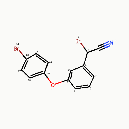 N#CC(Br)c1cccc(Oc2ccc(Br)cc2)c1